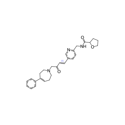 O=C(/C=C/c1ccc(CNC(=O)C2CCCO2)nc1)CN1CCC=C(c2ccccc2)CC1